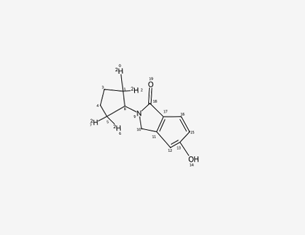 [2H]C1([2H])CCC([2H])([2H])C1N1Cc2cc(O)ccc2C1=O